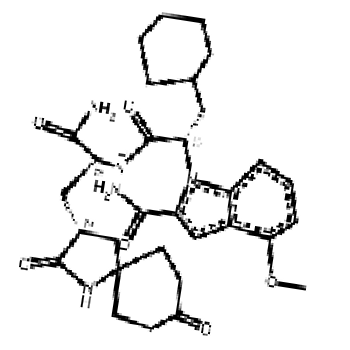 COc1cccc2c1cc(C(N)=O)n2[C@@H](CC1CCCCC1)C(=O)N[C@@H](C[C@@H]1CC2(CCC(=O)CC2)NC1=O)C(N)=O